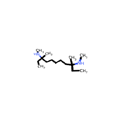 CCC(C)(CC[CH]CCC(C)(CC)NC)NC